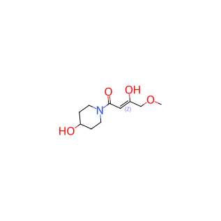 COC/C(O)=C/C(=O)N1CCC(O)CC1